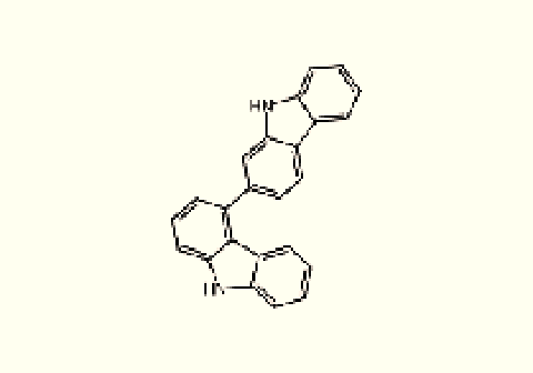 c1ccc2c(c1)[nH]c1cc(-c3cccc4[nH]c5ccccc5c34)ccc12